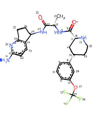 C[C@H](NC(=O)[C@H]1C[C@@H](c2cccc(OC(F)(F)F)c2)CCN1)C(=O)NC1CCc2nc(N)ccc21